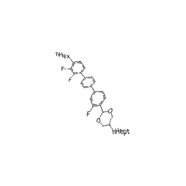 CCCCCCCC1COC(c2ccc(-c3ccc(-c4ccc(CCCCCC)c(F)c4F)cc3)cc2F)OC1